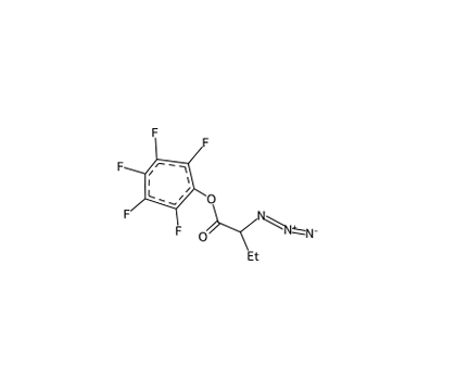 CCC(N=[N+]=[N-])C(=O)Oc1c(F)c(F)c(F)c(F)c1F